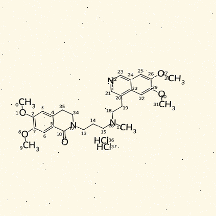 COc1cc2c(cc1OC)C(=O)N(CCCN(C)CCc1cncc3cc(OC)c(OC)cc13)CC2.Cl.Cl